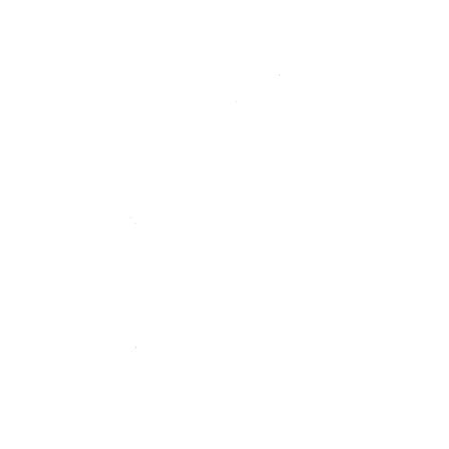 O=C1C2CC=CC=C2C=C2C=C3CCCCC3CC12